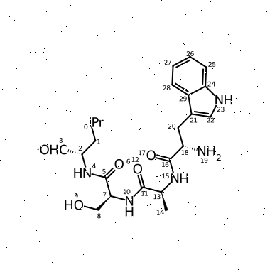 CC(C)C[C@@H]([C]=O)NC(=O)[C@H](CO)NC(=O)[C@H](C)NC(=O)[C@@H](N)Cc1c[nH]c2ccccc12